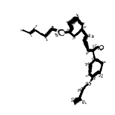 CCCCCOc1cccc(/C=C/C(=O)c2ccc(SCCC)cc2)c1